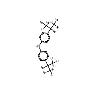 [2H]C([2H])([2H])C([2H])(c1ccc(Nc2ccc(C([2H])(C([2H])([2H])[2H])C([2H])([2H])[2H])cc2)cc1)C([2H])([2H])[2H]